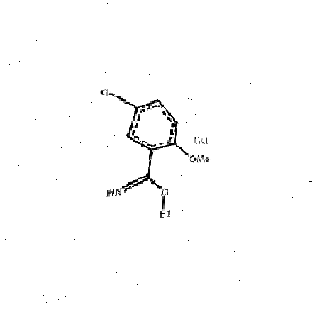 CCOC(=N)c1cc(Cl)ccc1OC.Cl